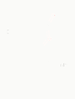 CCCc1c(C)ccc2c(CC)cc(=O)oc12